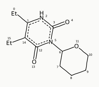 CCc1[nH]c(=O)n(C2CCCCO2)c(=O)c1CC